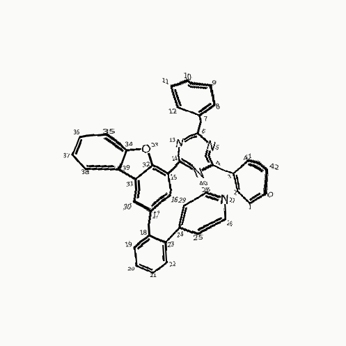 c1ccc(-c2nc(-c3ccccc3)nc(-c3cc(-c4ccccc4-c4ccncc4)cc4c3oc3ccccc34)n2)cc1